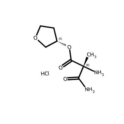 C[C@@](N)(C(N)=O)C(=O)O[C@H]1CCOC1.Cl